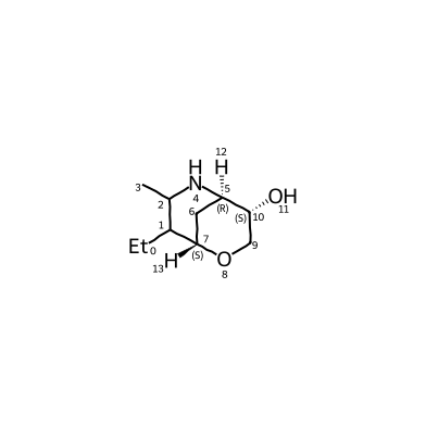 CCC1C(C)N[C@@H]2C[C@@H]1OC[C@H]2O